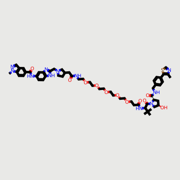 Cc1ncsc1-c1ccc(CNC(=O)[C@@H]2C[C@@H](O)CN2C(=O)C(NC(=O)CCOCCOCCOCCOCCOCCNC(=O)CC2CCN(Cc3nc4cc(NC(=O)c5ccc6c(cnn6C)c5)ccc4[nH]3)C2)C(C)(C)C)cc1